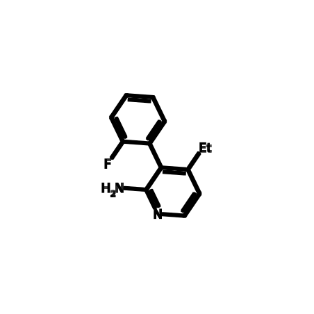 CCc1ccnc(N)c1-c1ccccc1F